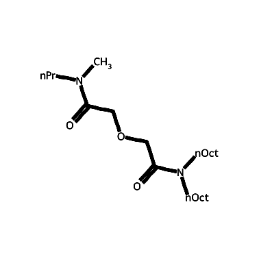 CCCCCCCCN(CCCCCCCC)C(=O)COCC(=O)N(C)CCC